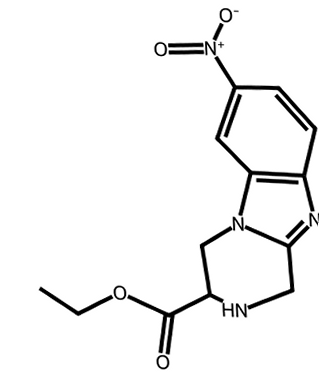 CCOC(=O)C1Cn2c(nc3ccc([N+](=O)[O-])cc32)CN1